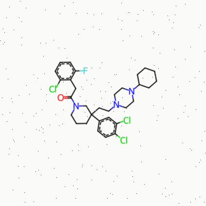 O=C(Cc1c(F)cccc1Cl)N1CCCC(CCN2CCN(C3CCCCC3)CC2)(c2ccc(Cl)c(Cl)c2)C1